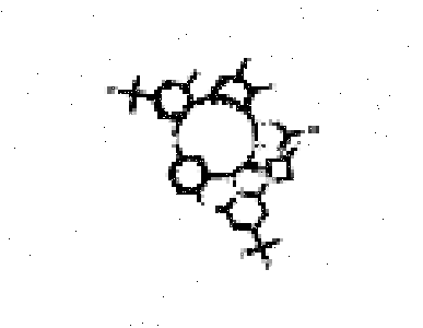 Cc1cc2cc(c1F)[C@H](CC(=O)O)NC(=O)[C@@H](N1C(=O)C=C(C(F)(F)F)CC1N1CC(F)C1)c1cc(ccc1F)Oc1cc(C(C)(C)O)cc(C)c1-2